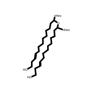 CCCCCCC(CCCCCCCCC=CCCO)OC(CCCCCC)CCCCCCCCC=CCCO